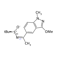 COc1nn(C)c2ccc(/C(C)=N\[S@+]([O-])C(C)(C)C)cc12